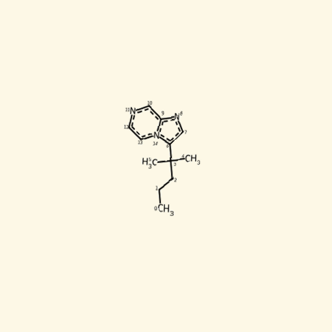 CCCC(C)(C)c1cnc2cnccn12